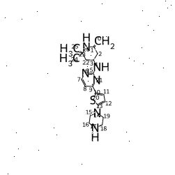 C=C1CC(Nc2nccc(-c3ccc(N4CCNCC4)s3)n2)CC(C)(C)N1